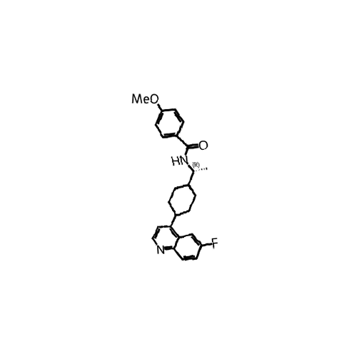 COc1ccc(C(=O)N[C@H](C)C2CCC(c3ccnc4ccc(F)cc34)CC2)cc1